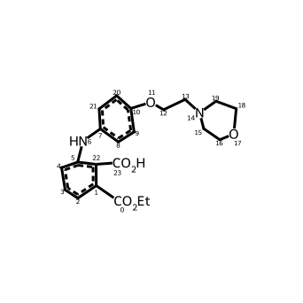 CCOC(=O)c1cccc(Nc2ccc(OCCN3CCOCC3)cc2)c1C(=O)O